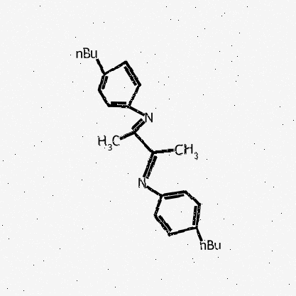 CCCCc1ccc(/N=C(C)/C(C)=N/c2ccc(CCCC)cc2)cc1